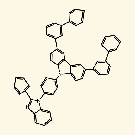 c1ccc(-c2cccc(-c3ccc4c(c3)c3cc(-c5cccc(-c6ccccc6)c5)ccc3n4-c3ccc(-n4c(-c5ccccc5)nc5ccccc54)cc3)c2)cc1